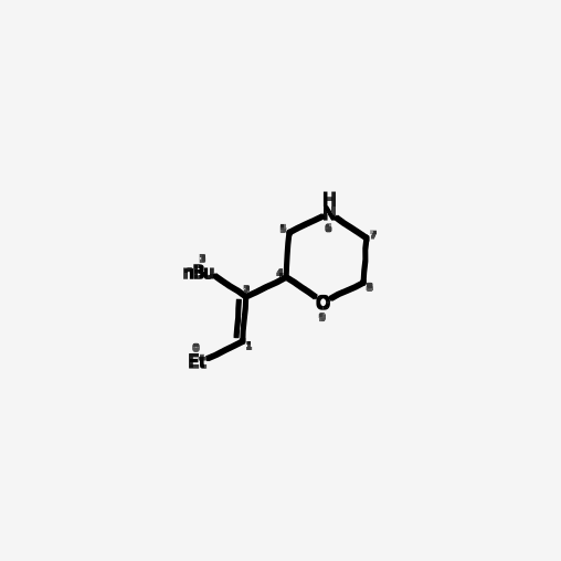 CCC=C(CCCC)C1CNCCO1